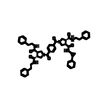 O=C(NCCc1ccccc1)[C@H]1CN(C(=O)c2ccc(C(=O)N3C[C@H](C(=O)NCCc4ccccc4)[C@@H](C(=O)NC4CC4c4ccccc4)C3)cc2)C[C@@H]1C(=O)NCCc1ccccc1